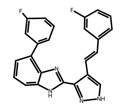 Fc1cccc(/C=C/c2c[nH]nc2-c2nc3c(-c4cccc(F)c4)cccc3[nH]2)c1